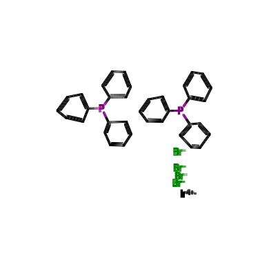 [Br-].[Br-].[Br-].[Br-].[Ir+4].c1ccc(P(c2ccccc2)c2ccccc2)cc1.c1ccc(P(c2ccccc2)c2ccccc2)cc1